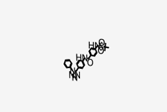 CC(C)(C)S(=O)(=O)Nc1ccc(C(=O)Nc2ccc(-c3nnnn3-c3ccccc3)cc2)cc1